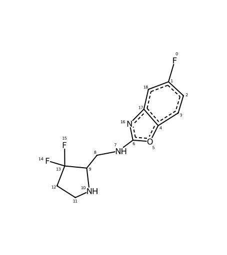 Fc1ccc2oc(NCC3NCCC3(F)F)nc2c1